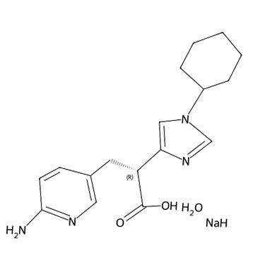 Nc1ccc(C[C@@H](C(=O)O)c2cn(C3CCCCC3)cn2)cn1.O.[NaH]